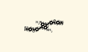 Cc1c(N)ccc(-c2ccc(N)cc2C(=O)C=Cc2ccc(C(=O)Oc3ccc(OC(F)(F)F)cc3)cc2)c1C(=O)C=Cc1ccc(C(=O)Oc2ccc(OC(F)(F)F)cc2)cc1